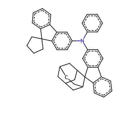 c1ccc(N(c2ccc3c(c2)-c2ccccc2C32CCCC2)c2ccc3c(c2)C2(c4ccccc4-3)C3CCC4CC(C3)CC2C4)cc1